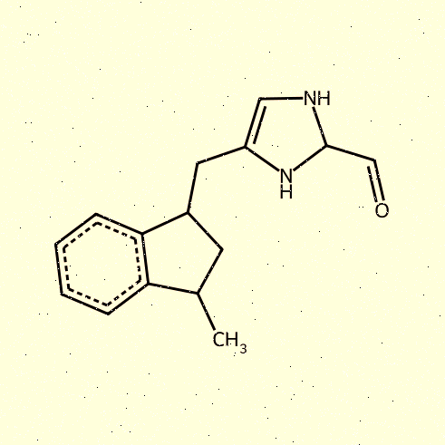 CC1CC(CC2=CNC(C=O)N2)c2ccccc21